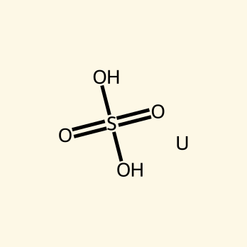 O=S(=O)(O)O.[U]